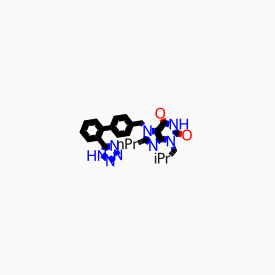 CCCc1nc2c(c(=O)[nH]c(=O)n2CC(C)C)n1Cc1ccc(-c2ccccc2-c2nnn[nH]2)cc1